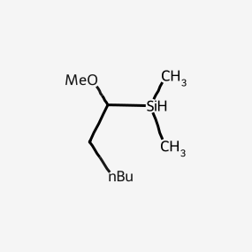 CCCCCC(OC)[SiH](C)C